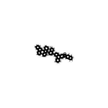 c1ccc2cc3c(cc2c1)oc1cc2c4ccc(-c5ccc(-c6c7ccccc7c(-c7cc8ccccc8c8ccccc78)c7ccccc67)c6ccccc56)cc4c4ccccc4c2cc13